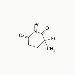 CCC1(C)CCC(=O)N(C(C)C)C1=O